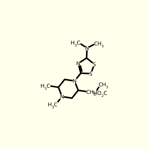 CC(=O)O.CC1CN(C2=NC(N(C)C)SS2)C(C)CN1C